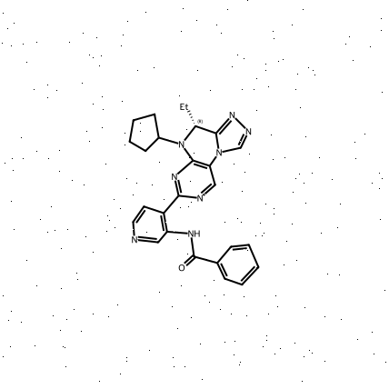 CC[C@@H]1c2nncn2-c2cnc(-c3ccncc3NC(=O)c3ccccc3)nc2N1C1CCCC1